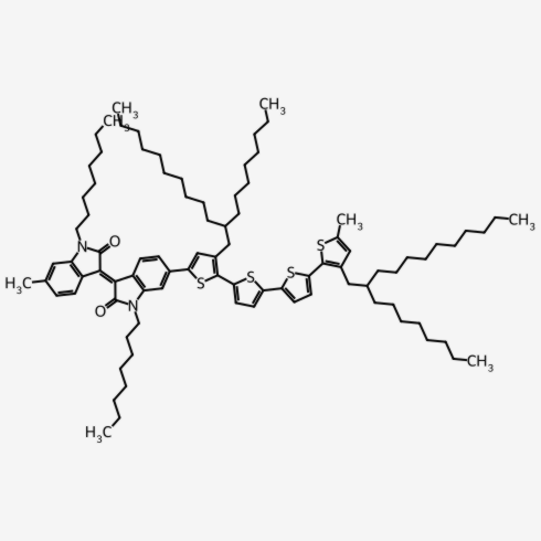 CCCCCCCCCCC(CCCCCCCC)Cc1cc(C)sc1-c1ccc(-c2ccc(-c3sc(-c4ccc5c(c4)N(CCCCCCCC)C(=O)/C5=C4/C(=O)N(CCCCCCCC)c5cc(C)ccc54)cc3CC(CCCCCCCC)CCCCCCCCCC)s2)s1